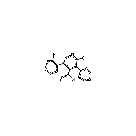 C/C=C(\S)c1c(-c2ccccc2F)nnc(Cl)c1-c1ccccn1